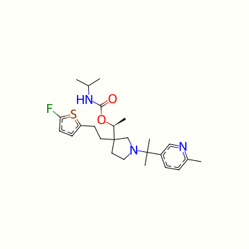 Cc1ccc(C(C)(C)N2CCC(CCc3ccc(F)s3)([C@H](C)OC(=O)NC(C)C)C2)cn1